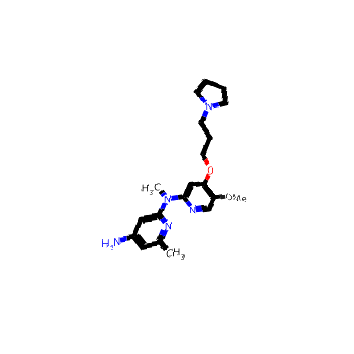 COc1cnc(N(C)c2cc(N)cc(C)n2)cc1OCCCN1CCCC1